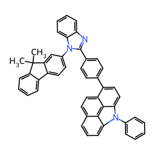 CC1(C)c2ccccc2-c2ccc(-n3c(-c4ccc(-c5ccc6c7c5ccc5cccc(c57)n6-c5ccccc5)cc4)nc4ccccc43)cc21